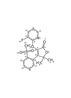 CC1(C)OC(=O)C(Oc2ncccc2F)=C1c1ccccc1S(C)(=O)=O